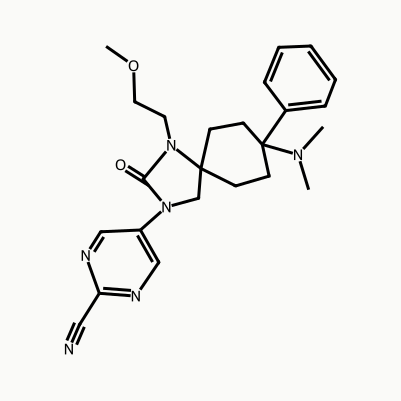 COCCN1C(=O)N(c2cnc(C#N)nc2)CC12CCC(c1ccccc1)(N(C)C)CC2